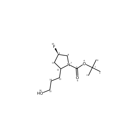 CC(C)(C)OC(=O)N1C[C@H](F)CC1CCCO